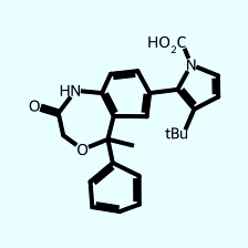 CC(C)(C)c1ccn(C(=O)O)c1-c1ccc2c(c1)C(C)(c1ccccc1)OCC(=O)N2